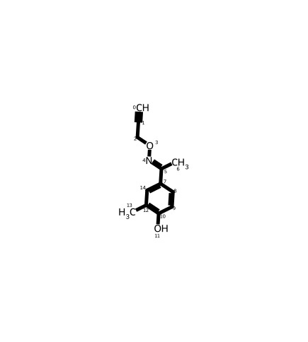 C#CCON=C(C)c1ccc(O)c(C)c1